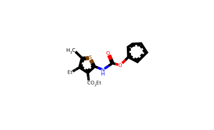 CCOC(=O)c1c(NC(=O)Oc2ccccc2)sc(C)c1CC